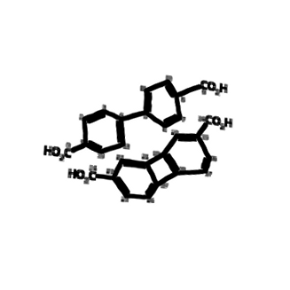 O=C(O)c1ccc(-c2ccc(C(=O)O)cc2)cc1.O=C(O)c1ccc2c(c1)-c1cc(C(=O)O)ccc1-2